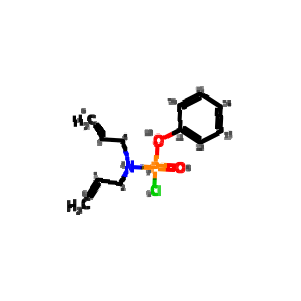 C=CCN(CC=C)P(=O)(Cl)Oc1ccccc1